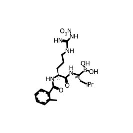 Cc1ccccc1C(=O)N[C@@H](CCCNC(=N)N[N+](=O)[O-])C(=O)N[C@@H](CC(C)C)B(O)O